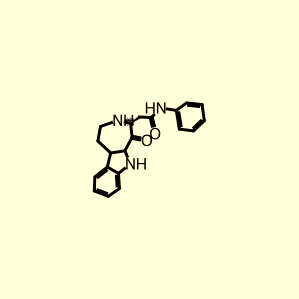 O=C(C[C@@H]1NCCC2c3ccccc3NC2C1=O)Nc1ccccc1